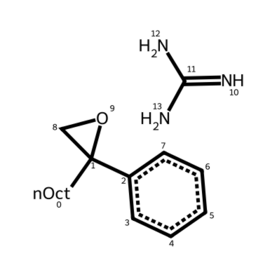 CCCCCCCCC1(c2ccccc2)CO1.N=C(N)N